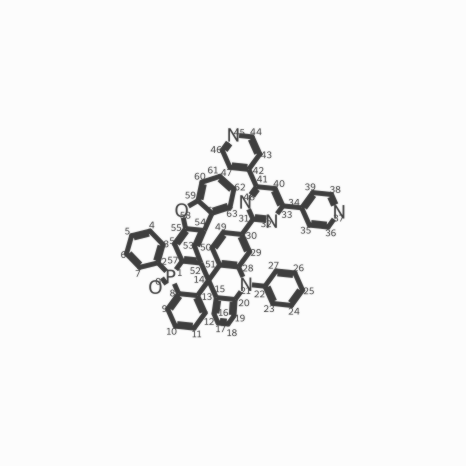 O=P1(c2ccccc2)c2ccccc2C2(c3ccccc3N(c3ccccc3)c3cc(-c4nc(-c5ccncc5)cc(-c5ccncc5)n4)ccc32)c2cc3c(cc21)oc1ccccc13